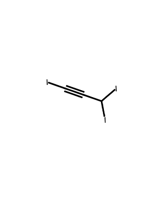 IC#CC(I)I